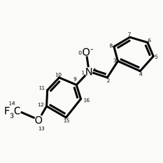 [O-][N+](=Cc1ccccc1)c1ccc(OC(F)(F)F)cc1